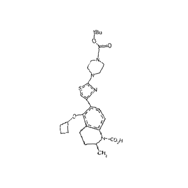 CC1CCc2c(ccc(-c3csc(N4CCN(C(=O)OC(C)(C)C)CC4)n3)c2OC2CCC2)N1C(=O)O